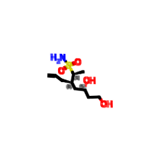 C=CC[C@H](C[C@H](O)CCO)[C@H](C)S(N)(=O)=O